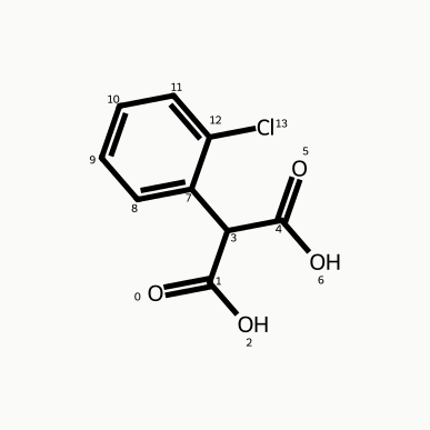 O=C(O)C(C(=O)O)c1ccccc1Cl